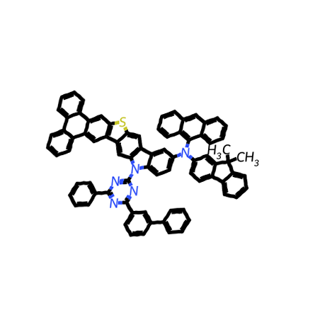 CC1(C)c2ccccc2-c2ccc(N(c3ccc4c(c3)c3cc5sc6cc7c8ccccc8c8ccccc8c7cc6c5cc3n4-c3nc(-c4ccccc4)nc(-c4cccc(-c5ccccc5)c4)n3)c3c4ccccc4cc4ccccc34)cc21